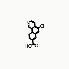 O=C(O)c1ccc2c(c1)cc(Cl)c1ccncc12